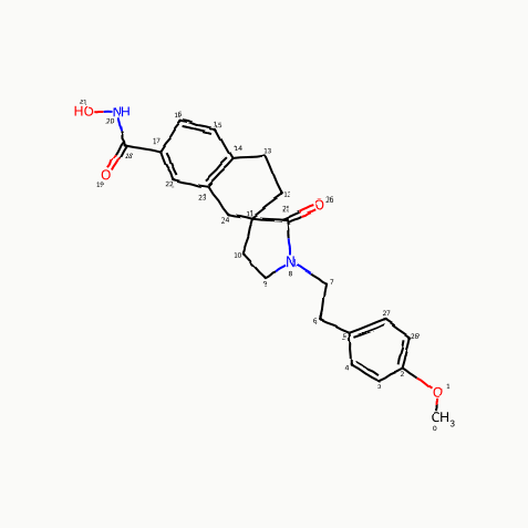 COc1ccc(CCN2CCC3(CCc4ccc(C(=O)NO)cc4C3)C2=O)cc1